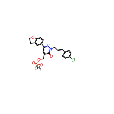 CS(=O)(=O)OCc1cc(-c2ccc3c(c2)CCO3)nn(CC=Cc2ccc(Cl)cc2)c1=O